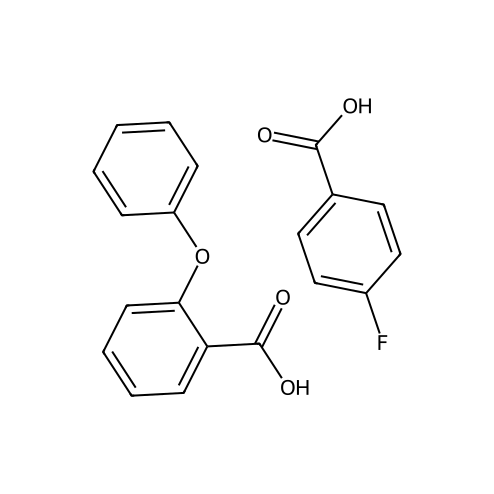 O=C(O)c1ccc(F)cc1.O=C(O)c1ccccc1Oc1ccccc1